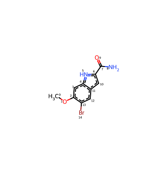 COc1cc2[nH]c(C(N)=O)cc2cc1Br